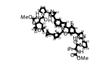 COC(=O)NC(C(=O)N1CCC[C@H]1c1ncc(-c2ccc3c(c2)cc2n3C(c3ccc(C4CC4)s3)Oc3cc(-c4cnc([C@@H]5CCCN5C(=O)[C@@H](NC(=O)OC)C(C)C)[nH]4)cc(F)c3-2)[nH]1)C1CC(C)(C)OC(C)(C)C1